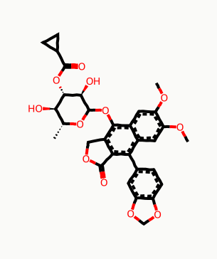 COc1cc2c(OC3O[C@H](C)[C@@H](O)[C@H](OC(=O)C4CC4)[C@H]3O)c3c(c(-c4ccc5c(c4)OCO5)c2cc1OC)C(=O)OC3